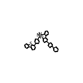 c1ccc(-c2ccc(-c3ccc4c(c3)c3ccccc3c3nnc(-c5ccc(-c6cccc7c6sc6ccccc67)cc5)n43)cc2)cc1